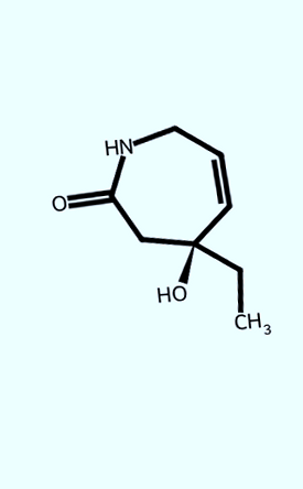 CC[C@@]1(O)C=CCNC(=O)C1